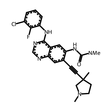 CNC(=O)Nc1cc2c(Nc3cccc(Cl)c3F)ncnc2cc1C#CC1(C)CCN(C)C1